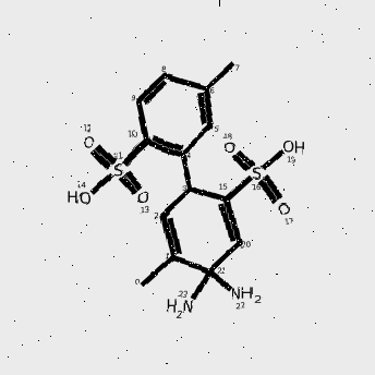 CC1=CC(c2cc(C)ccc2S(=O)(=O)O)C(S(=O)(=O)O)=CC1(N)N